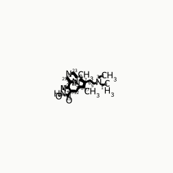 CCN(CC)CCc1c(C)[nH]c(/C=C2/C(=O)[NH+]([O-])N=C2c2cnccn2)c1C